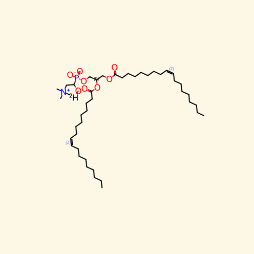 [2H]OC(C[N+](C)(C)C)P(=O)([O-])OC[C@@H](COC(=O)CCCCCCC/C=C\CCCCCCCC)OC(=O)CCCCCCC/C=C\CCCCCCCC